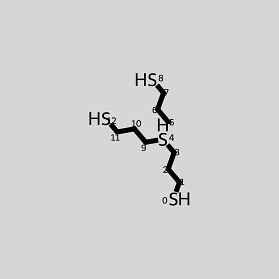 SCCC[SH](CCCS)CCCS